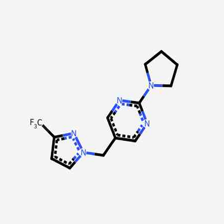 FC(F)(F)c1ccn(Cc2cnc(N3CCCC3)nc2)n1